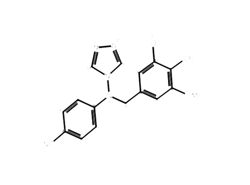 COc1cc(CN(c2ccc(C#N)cc2)n2cnnc2)cc(Cl)c1O